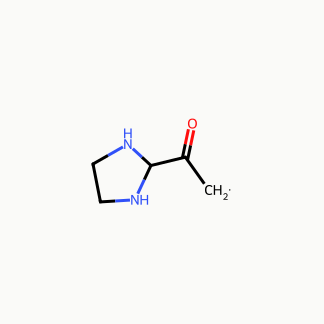 [CH2]C(=O)C1NCCN1